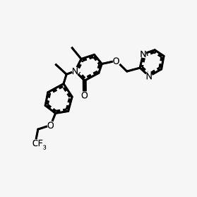 Cc1cc(OCc2ncccn2)cc(=O)n1C(C)c1ccc(OCC(F)(F)F)cc1